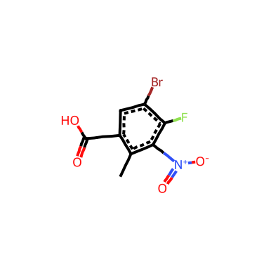 Cc1c(C(=O)O)cc(Br)c(F)c1[N+](=O)[O-]